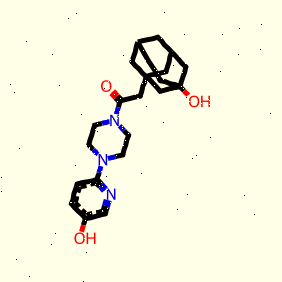 O=C(CC12CC3CC(CC(O)(C3)C1)C2)N1CCN(c2ccc(O)cn2)CC1